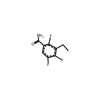 CCc1c(F)c(F)cc(C(N)=O)c1F